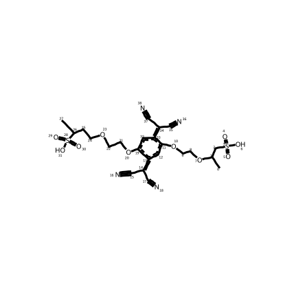 CC(CS(=O)(=O)O)OCCOc1cc(=C(C#N)C#N)c(OCCOCCC(C)S(=O)(=O)O)cc1=C(C#N)C#N